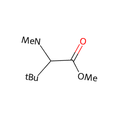 CNC(C(=O)OC)C(C)(C)C